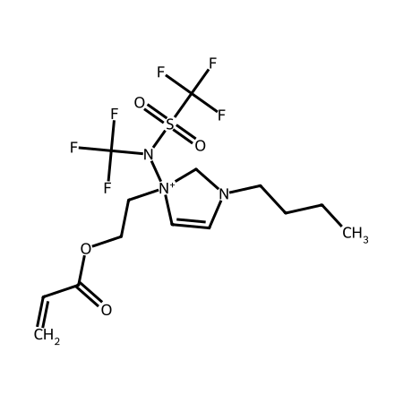 C=CC(=O)OCC[N+]1(N(C(F)(F)F)S(=O)(=O)C(F)(F)F)C=CN(CCCC)C1